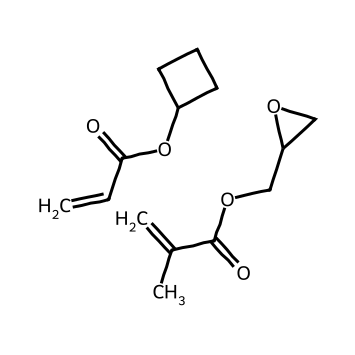 C=C(C)C(=O)OCC1CO1.C=CC(=O)OC1CCC1